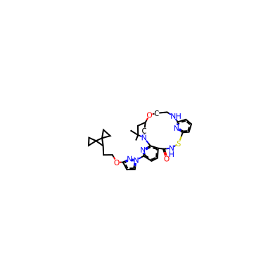 CC1(C)CC2CN1c1nc(-n3ccc(OCCC4C5(CC5)C45CC5)n3)ccc1C(=O)NSc1cccc(n1)NCCO2